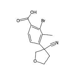 Cc1c(C2(C#N)CCOC2)ccc(C(=O)O)c1Br